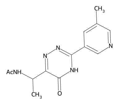 CC(=O)NC(C)c1nnc(-c2cncc(C)c2)[nH]c1=O